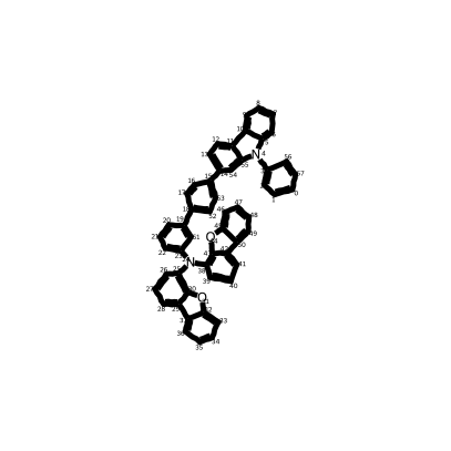 c1ccc(-n2c3ccccc3c3ccc(-c4ccc(-c5cccc(N(c6cccc7c6oc6ccccc67)c6cccc7c6oc6ccccc67)c5)cc4)cc32)cc1